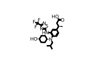 CC(C)CN(c1ccc([C@H](C)CC(=O)O)cc1Nc1nc(C(F)(F)F)ns1)[C@H]1CC[C@@H](O)CC1